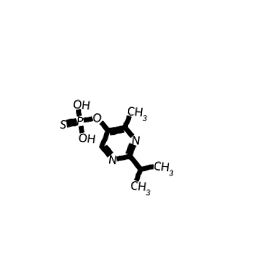 Cc1nc(C(C)C)ncc1OP(O)(O)=S